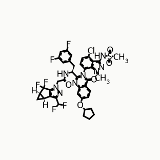 Cn1nc(NS(C)(=O)=O)c2c(Cl)ccc(-n3c([C@H](Cc4cc(F)cc(F)c4)NC(=O)Cn4nc(C(F)F)c5c4C(F)(F)[C@@H]4C[C@H]54)nc4cc(OC5CCCC5)ccc4c3=O)c21